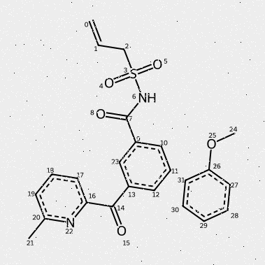 C=CCS(=O)(=O)NC(=O)c1cccc(C(=O)c2cccc(C)n2)c1.COc1ccccc1